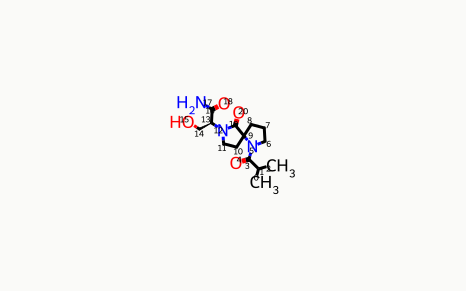 CC(C)C(=O)N1CCCC12CCN([C@@H](CO)C(N)=O)C2=O